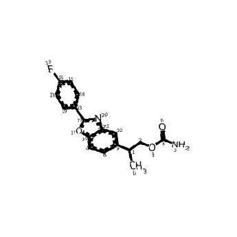 CC(COC(N)=O)c1ccc2oc(-c3ccc(F)cc3)nc2c1